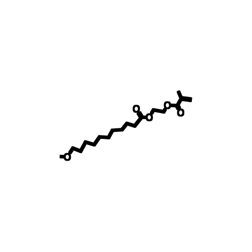 C=C(C)C(=O)OCCOC(=O)CCCCCCCCCCOC